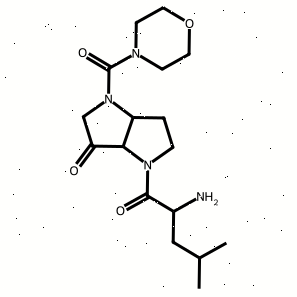 CC(C)CC(N)C(=O)N1CCC2C1C(=O)CN2C(=O)N1CCOCC1